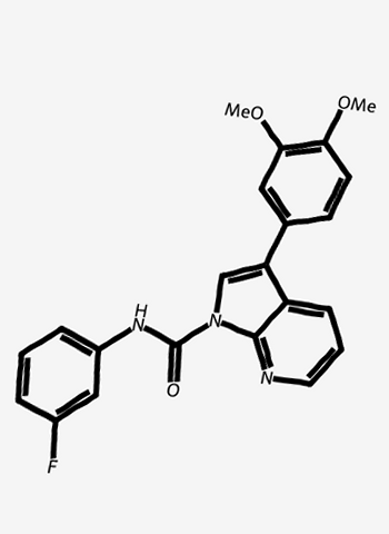 COc1ccc(-c2cn(C(=O)Nc3cccc(F)c3)c3ncccc23)cc1OC